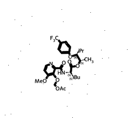 CC[C@H](C)[C@H](NC(=O)c1nccc(OC)c1OCOC(C)=O)C(=O)O[C@@H](C)[C@H](Oc1ccc(C(F)(F)F)cc1)C(C)C